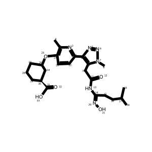 Cc1nc(-c2nnn(C)c2CC(=O)N/C(CCC(C)C)=N/O)ccc1OC1CCC[C@H](C(=O)O)C1